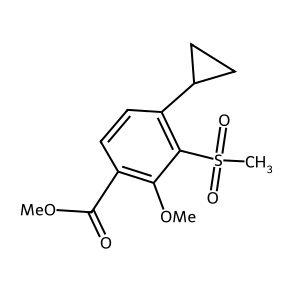 COC(=O)c1ccc(C2CC2)c(S(C)(=O)=O)c1OC